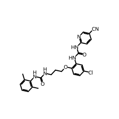 Cc1cccc(C)c1NC(=O)NCCCOc1ccc(Cl)cc1NC(=O)Nc1ccc(C#N)cn1